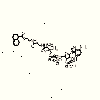 CC(C)(COP(=O)(O)OP(=O)(O)OC[C@H]1O[C@@H](n2cnc3c(N)ncnc32)[C@H](O)[C@@H]1OP(=O)(O)O)[C@@H](O)C(=O)NCCC(=O)NCCSC(=O)c1cccc2ccccc12